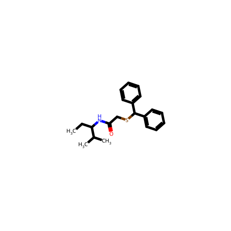 CCC(NC(=O)CSC(c1ccccc1)c1ccccc1)C(C)C